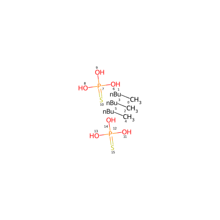 CCCCC.CCCCC.CCCCC.OP(O)(O)=S.OP(O)(O)=S